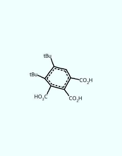 CC(C)(C)c1cc(C(=O)O)c(C(=O)O)c(C(=O)O)c1C(C)(C)C